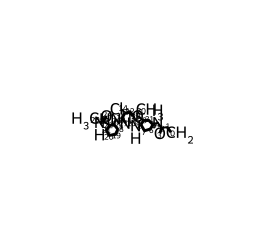 C=CC(=O)Nc1ccc(Nc2ncc(Cl)c(Nc3ccccc3C(=O)NC)n2)c(OC)c1